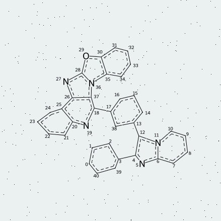 c1ccc(-c2nc3ccccn3c2-c2cccc(-c3nc4ccccc4c4nc5oc6ccccc6n5c34)c2)cc1